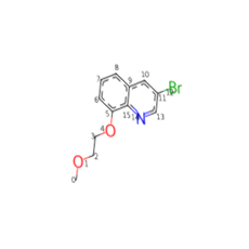 COCCOc1cccc2cc(Br)cnc12